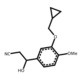 COc1ccc(C(O)CC#N)cc1OCC1CC1